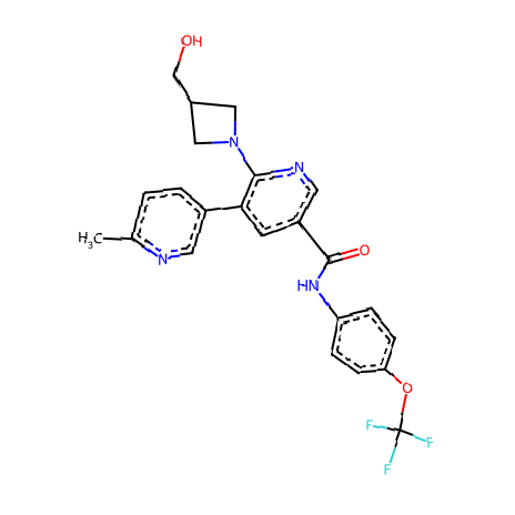 Cc1ccc(-c2cc(C(=O)Nc3ccc(OC(F)(F)F)cc3)cnc2N2CC(CO)C2)cn1